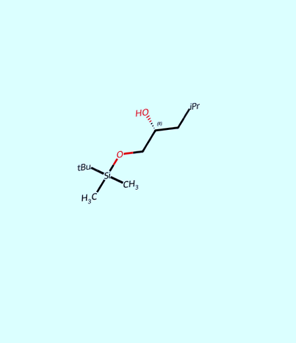 CC(C)C[C@@H](O)CO[Si](C)(C)C(C)(C)C